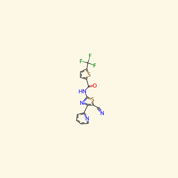 N#Cc1sc(NC(=O)c2ccc(C(F)(F)F)s2)nc1-c1ccccn1